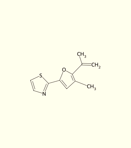 C=C(C)c1oc(-c2nccs2)cc1C